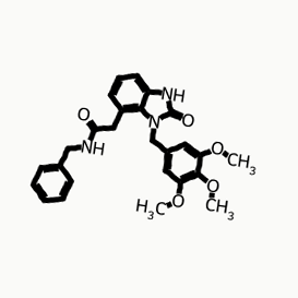 COc1cc(Cn2c(=O)[nH]c3cccc(CC(=O)NCc4ccccc4)c32)cc(OC)c1OC